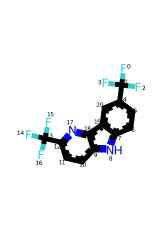 FC(F)(F)c1ccc2[nH]c3ccc(C(F)(F)F)nc3c2c1